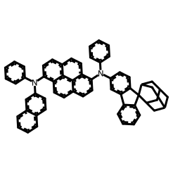 c1ccc(N(c2ccc3c(c2)-c2ccccc2C32C3CC4CC(C3)CC2C4)c2ccc3ccc4c(N(c5ccccc5)c5ccc6ccccc6c5)ccc5ccc2c3c54)cc1